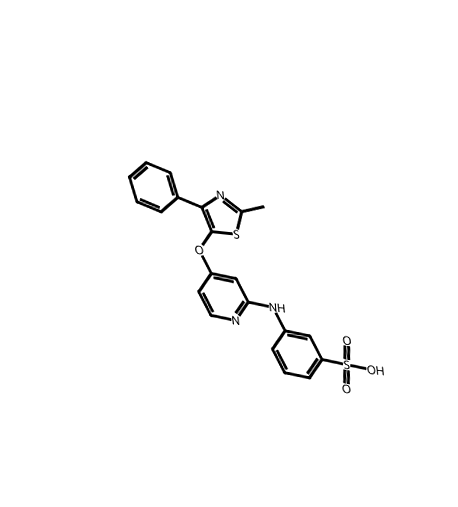 Cc1nc(-c2ccccc2)c(Oc2ccnc(Nc3cccc(S(=O)(=O)O)c3)c2)s1